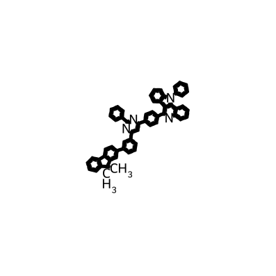 CC1(C)c2ccccc2-c2ccc(-c3cccc(-c4cc(-c5ccc(-c6nc7ccccc7c7c6c6ccccc6n7-c6ccccc6)cc5)nc(-c5ccccc5)n4)c3)cc21